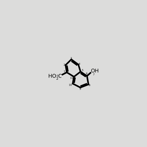 O=C(O)c1cccc2c(O)cccc12